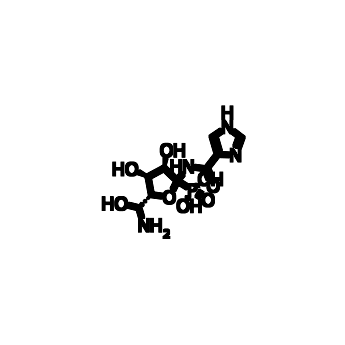 NC(O)[C@H]1OC(NC(=O)c2c[nH]cn2)(P(=O)(O)O)[C@H](O)[C@@H]1O